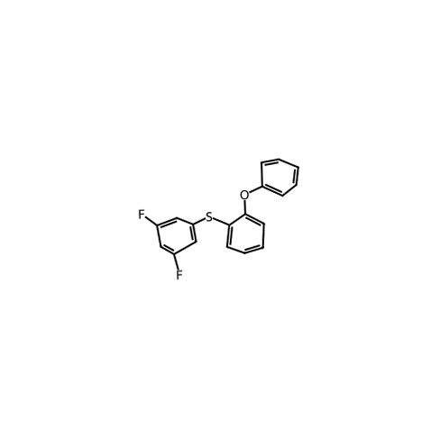 Fc1cc(F)cc(Sc2ccccc2Oc2ccccc2)c1